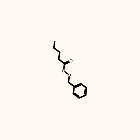 CCCCC(=O)OOCc1ccccc1